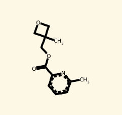 Cc1cccc(C(=O)OCC2(C)COC2)n1